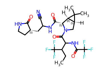 CCC(C(NC(=O)C(F)(F)F)C(=O)N1C[C@H]2[C@@H]([C@H]1C(=O)NC(C#N)C[C@@H]1CCNC1=O)C2(C)C)C(F)(F)F